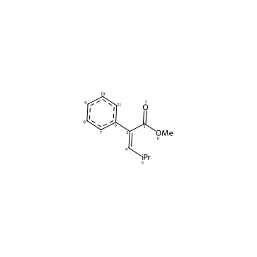 COC(=O)C(=CC(C)C)c1ccccc1